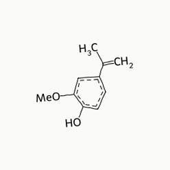 C=C(C)c1ccc(O)c(OC)c1